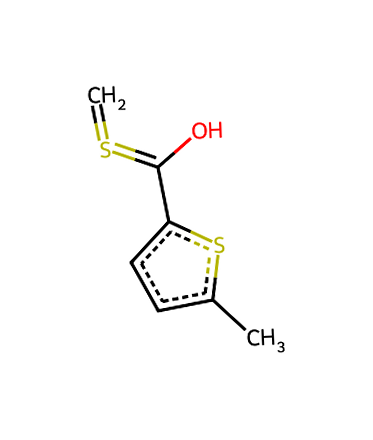 C=S=C(O)c1ccc(C)s1